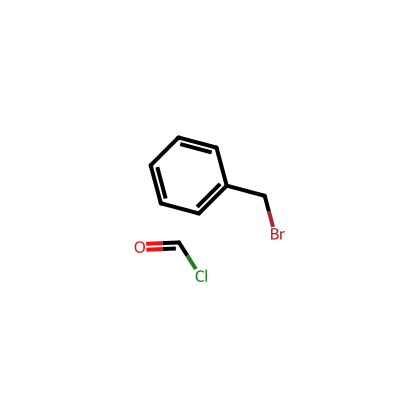 BrCc1ccccc1.O=CCl